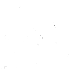 O=Cc1cc(-c2cc3c(Br)ccnc3n2S(=O)(=O)c2ccccc2)ccc1F